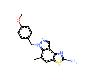 COc1ccc(Cn2ncc3c4nc(N)sc4cc(C)c32)cc1